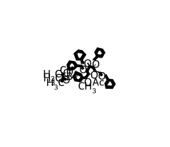 CC(=O)O[C@H](c1ccc(B2OC(C)(C)C(C)(C)O2)cc1C)[C@H]1O[C@H](COCc2ccccc2)[C@@H](OCc2ccccc2)[C@H](OCc2ccccc2)[C@@H]1OCc1ccccc1